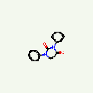 O=C1CCN(c2ccccc2)C(=O)N1c1ccccc1